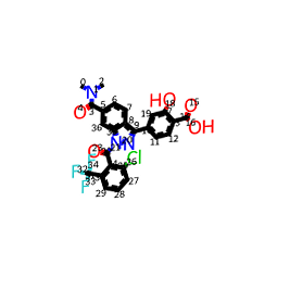 CN(C)C(=O)c1ccc2c(-c3ccc(C(=O)O)c(O)c3)nn(C(=O)c3c(Cl)cccc3C(F)(F)F)c2c1